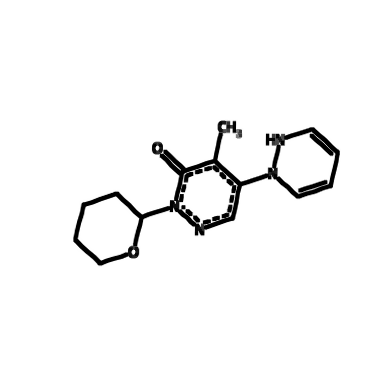 Cc1c(N2C=CC=CN2)cnn(C2CCCCO2)c1=O